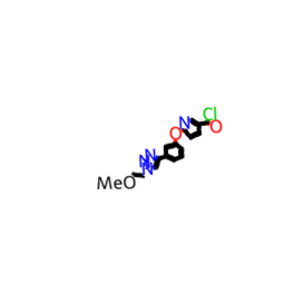 COCCn1cc(-c2cccc(Oc3ccc(C(=O)Cl)cn3)c2)nn1